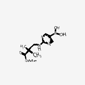 COC(=O)C(C)(C)CNc1ncc(B(O)O)cn1